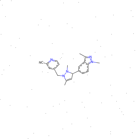 CC1=CC(c2ccc3c(c2)c(C)nn3C)N(C)N1Cc1ccnc(C#N)c1